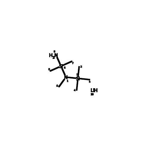 CN([Si](C)(C)C)[Si](C)(C)N.[LiH]